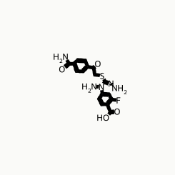 N/N=C(/SCC(=O)c1ccc(C(N)=O)cc1)N(N)c1ccc(C(=O)O)c(F)c1